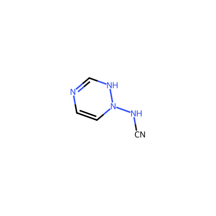 N#CNN1C=CN=CN1